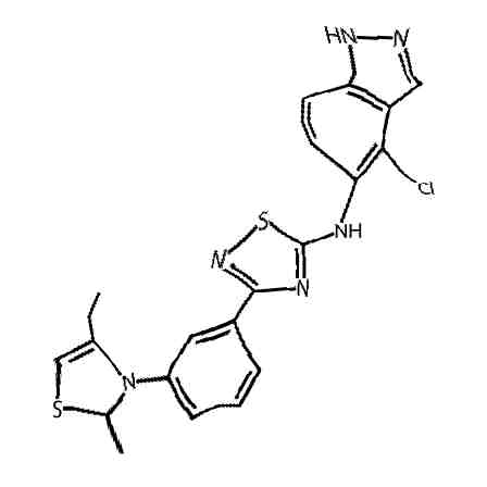 CC1=CSC(C)N1c1cccc(-c2nsc(Nc3ccc4[nH]ncc4c3Cl)n2)c1